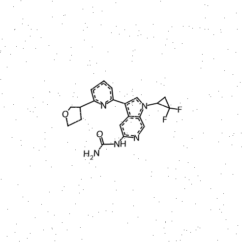 NC(=O)Nc1cc2c(-c3cccc(C4CCOC4)n3)cn(C3CC3(F)F)c2cn1